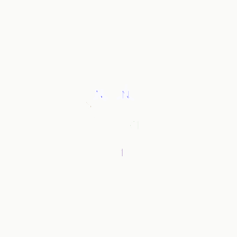 CCN(C)c1nsc2ccc(I)c(Cl)c12